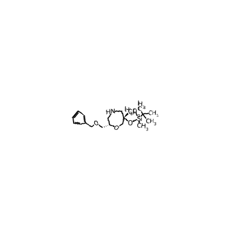 CC(C)(C)[Si](C)(C)O[C@@]1(C)CNC[C@@H](COCc2ccccc2)OC1